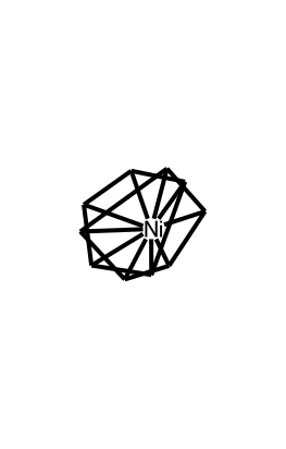 [CH]12[CH]3[CH]4[CH]5[CH]1[Ni]23451678[CH]2[CH]1[CH]6[CH]7[CH]28